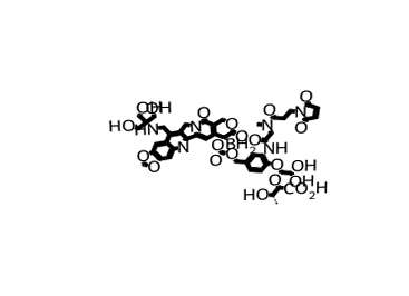 B[C@@]1(OC(=O)OCc2ccc(OC(OC(C(=O)O)[C@H](C)O)C(O)O)c(NC(=O)CN(C)C(=O)CCN3C(=O)C=CC3=O)c2)C(=O)OCc2c1cc1n(c2=O)Cc2c-1nc1cc3c(cc1c2CNC(CO)(CO)CO)OCO3